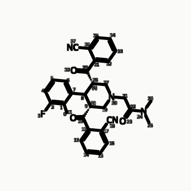 Cc1c(F)cccc1C1[C@@H](C(=O)c2ccccc2C#N)CN(CC(=O)N(C)C)C[C@H]1C(=O)c1ccccc1C#N